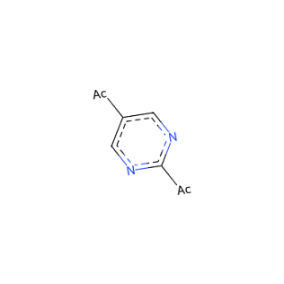 CC(=O)c1cnc(C(C)=O)nc1